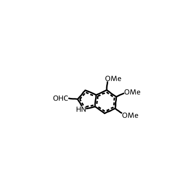 COc1cc2[nH]c(C=O)cc2c(OC)c1OC